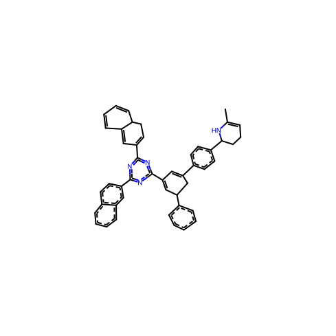 CC1=CCCC(c2ccc(C3=CC(c4nc(C5=CCC6C=CC=CC6=C5)nc(-c5ccc6ccccc6c5)n4)=CC(c4ccccc4)C3)cc2)N1